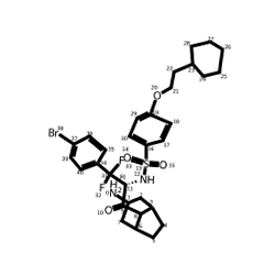 NC1CC2CCC(C1)C2C(=O)[C@@H](NS(=O)(=O)c1ccc(OCCC2CCCCC2)cc1)C(F)(F)c1ccc(Br)cc1